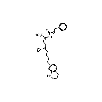 O=C(N[C@@H](CCN(CCCCc1ccc2c(n1)NCCC2)C1CC1)C(=O)O)OCc1ccccc1